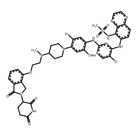 CCc1cc(Nc2ncc(Cl)c(Nc3ccc4nccnc4c3NS(C)(=O)=O)n2)c(OC)cc1N1CCC(N(C)CCOc2cccc3c2CN(C2CCC(=O)NC2=O)C3=O)CC1